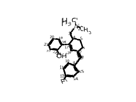 CN(C)CC1CCC(=Cc2ccc(F)cc2)C=C1c1ccccc1O